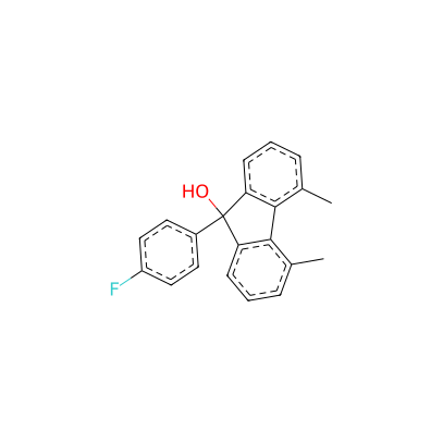 Cc1cccc2c1-c1c(C)cccc1C2(O)c1ccc(F)cc1